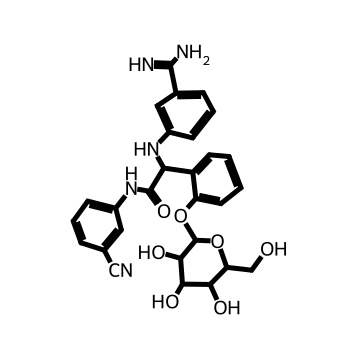 N#Cc1cccc(NC(=O)C(Nc2cccc(C(=N)N)c2)c2ccccc2OC2OC(CO)C(O)C(O)C2O)c1